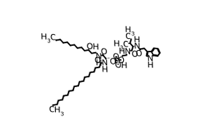 CCCCCCCCCCCCCCCCCCCC(=O)N[C@@H](COP(=O)(O)OCCNC(=O)[C@@H](NC(=O)Cc1c[nH]c2ccccc12)[C@@H](C)CC)C(=O)NCCC(O)CCCCCCCCCC